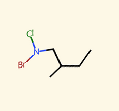 CCC(C)CN(Cl)Br